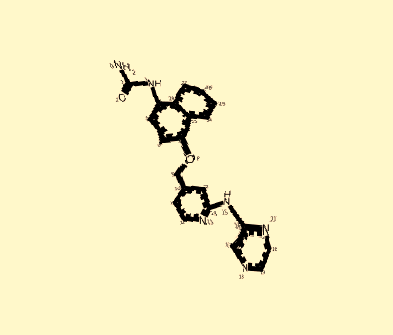 NC(=O)Nc1ccc(OCc2ccnc(Nc3cnccn3)c2)c2ccccc12